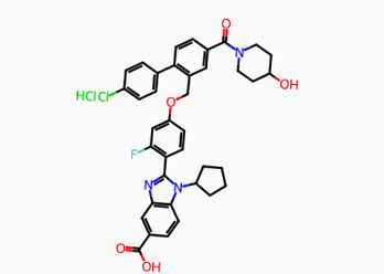 Cl.O=C(O)c1ccc2c(c1)nc(-c1ccc(OCc3cc(C(=O)N4CCC(O)CC4)ccc3-c3ccc(Cl)cc3)cc1F)n2C1CCCC1